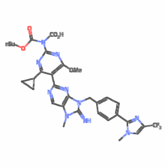 CCCCOC(=O)N(C(=O)O)c1nc(OC)c(-c2ncc3c(n2)n(Cc2ccc(-c4nc(C(F)(F)F)cn4C)cc2)c(=N)n3C)c(C2CC2)n1